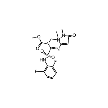 COC(=O)N1C[N+]2(C)C(=CC(=O)N2C)N=C1S(=O)(=O)Nc1c(F)cccc1F